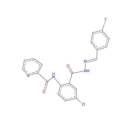 O=C(Nc1ccc(Cl)cc1C(=O)NN=Cc1ccc(F)cc1)c1ccccn1